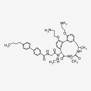 CCCCc1ccc(-c2ccc(C(=O)NCC(=O)N(NC)C3C(=O)N[C@@H](C)C(=O)NC(C)Cc4ccc(OCCN)c(c4)-c4cc3ccc4OCCN)cc2)cc1